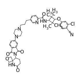 CC1(C)C(NC(=O)c2ccc(CCCN3CCN(c4ccc5c(c4)C(=O)N(C4CCC(=O)NC46COC6)C5=O)CC3)cn2)C(C)(C)C1Oc1ccc(C#N)c(Cl)c1